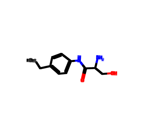 CCCCCCCCCc1ccc(NC(=O)C(N)CO)cc1